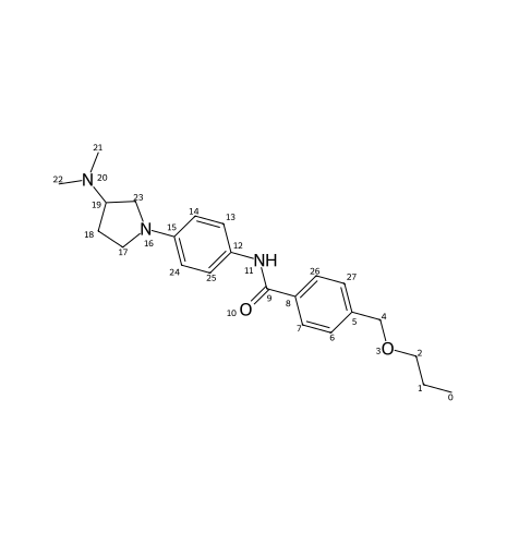 CCCOCc1ccc(C(=O)Nc2ccc(N3CCC(N(C)C)C3)cc2)cc1